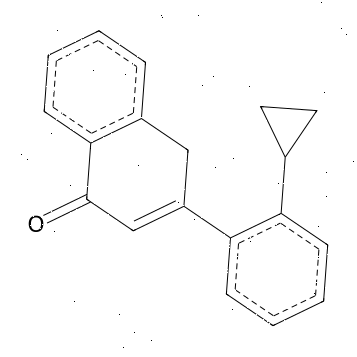 O=C1C=C(c2ccccc2C2CC2)Cc2ccccc21